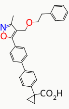 Cc1noc(-c2ccc(-c3ccc(C4(C(=O)O)CC4)cc3)cc2)c1COCCc1ccccc1